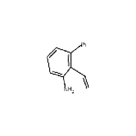 C=Cc1c(N)cccc1C(C)C